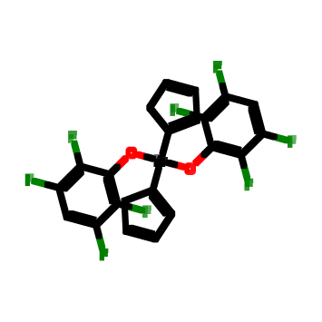 Fc1cc(F)c(F)c([O][Zr]([O]c2c(F)c(F)cc(F)c2F)([C]2=CC=CC2)[C]2=CC=CC2)c1F